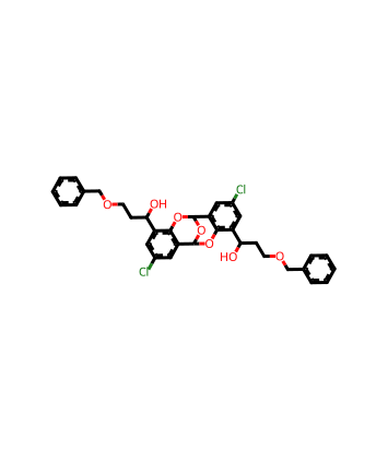 OC(CCOCc1ccccc1)c1cc(Cl)cc2c1OC1OC2Oc2c(C(O)CCOCc3ccccc3)cc(Cl)cc21